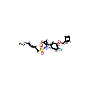 C/C=C/CCS(=O)(=O)NC1(c2ccc(F)c(OCC3CCC3)c2)CC1